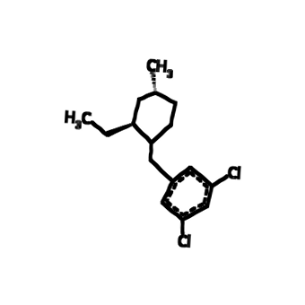 CC[C@H]1C[C@H](C)CCC1Cc1cc(Cl)cc(Cl)c1